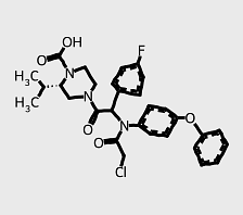 CC(C)[C@H]1CN(C(=O)C(c2ccc(F)cc2)N(C(=O)CCl)c2ccc(Oc3ccccc3)cc2)CCN1C(=O)O